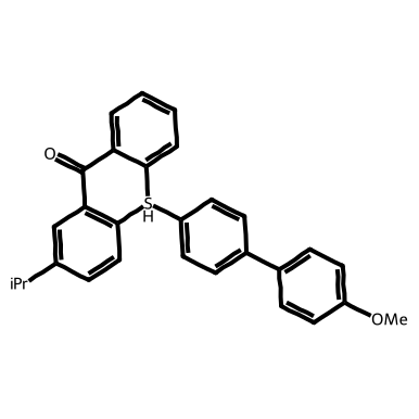 COc1ccc(-c2ccc([SH]3c4ccccc4C(=O)c4cc(C(C)C)ccc43)cc2)cc1